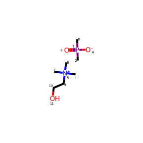 CP(C)(=O)[O-].C[N+](C)(C)CCO